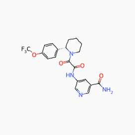 NC(=O)c1cncc(NC(=O)C(=O)N2CCCC[C@H]2c2ccc(OC(F)(F)F)cc2)c1